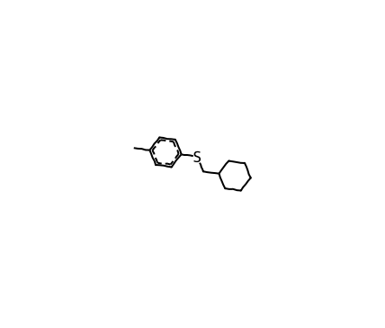 Cc1ccc(SCC2CCCCC2)cc1